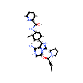 CC#CC(=O)N1CCC[C@H]1c1nc(-c2ccc(NC(=O)c3ccccn3)c(C)c2)c2c(N)nccn12